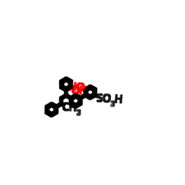 CC(CC(c1ccccc1)c1cccc(-c2cc(S(=O)(=O)O)ccc2O)c1O)c1ccccc1